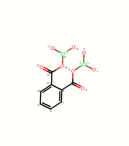 O=C(O[Cl+2]([O-])[O-])c1ccccc1C(=O)O[Cl+2]([O-])[O-]